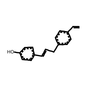 C=Cc1ccc(CC=Cc2ccc(O)cc2)cc1